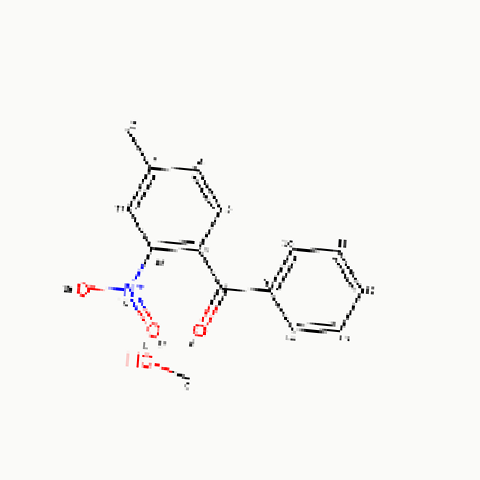 CO.Cc1ccc(C(=O)c2ccccc2)c([N+](=O)[O-])c1